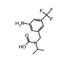 CC(C)N(Cc1cc(N)cc(C(F)(F)F)c1)C(=O)O